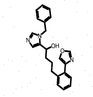 OC(CCCc1ccccc1-c1cocn1)c1cncn1Cc1ccccc1